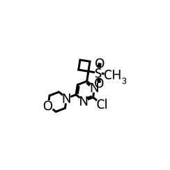 CS(=O)(=O)C1(c2cc(N3CCOCC3)nc(Cl)n2)CCC1